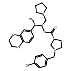 O=C(N[C@H](CN1CCCC1)[C@H](O)c1ccc2c(c1)OCCO2)[C@H]1CCN(Cc2ccc(Cl)cc2)C1